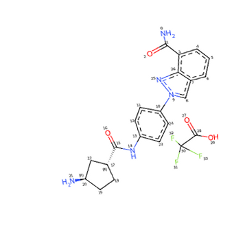 NC(=O)c1cccc2cn(-c3ccc(NC(=O)[C@@H]4CC[C@@H](N)C4)cc3)nc12.O=C(O)C(F)(F)F